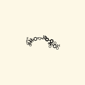 Cn1c(=O)n(C2CCC(=O)NC2=O)c2cccc(-c3ccc4c(cnn4CCOCC4CCC(n5cc([N+](=O)[O-])c(C(F)F)n5)CC4)c3)c21